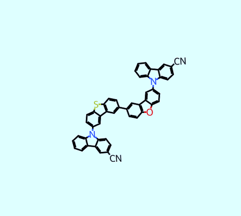 N#Cc1ccc2c(c1)c1ccccc1n2-c1ccc2oc3ccc(-c4ccc5sc6ccc(-n7c8ccccc8c8cc(C#N)ccc87)cc6c5c4)cc3c2c1